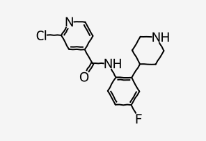 O=C(Nc1ccc(F)cc1C1CCNCC1)c1ccnc(Cl)c1